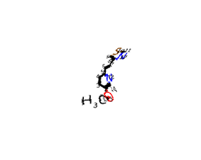 COc1ccc(C=Cc2cscn2)nc1